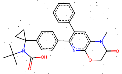 CN1C(=O)COc2nc(-c3ccc(C4(N(C(=O)O)C(C)(C)C)CC4)cc3)c(-c3ccccc3)cc21